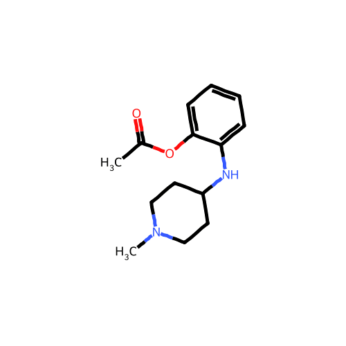 CC(=O)Oc1ccccc1NC1CCN(C)CC1